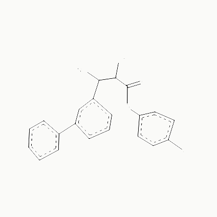 CC(C)C(C(=O)Oc1ccc(Cl)cc1)C(C#N)c1cccc(-c2ccccc2)c1